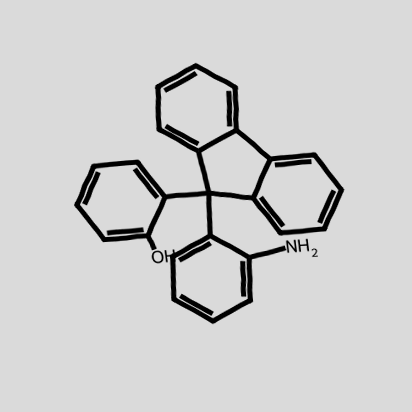 Nc1ccccc1C1(c2ccccc2O)c2ccccc2-c2ccccc21